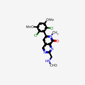 COc1cc(OC)c(Cl)c(-c2cc3cnc(CNC=O)nc3c(=O)n2C)c1Cl